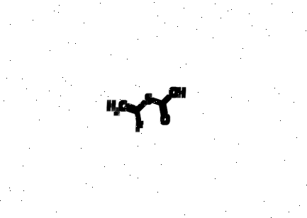 C=C(F)SC(=O)O